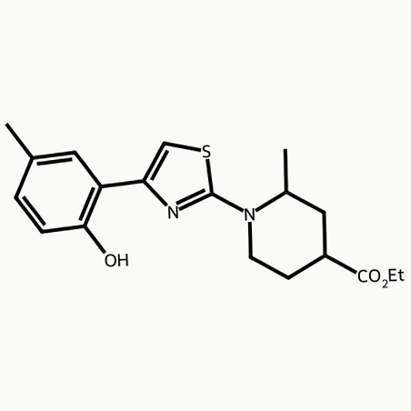 CCOC(=O)C1CCN(c2nc(-c3cc(C)ccc3O)cs2)C(C)C1